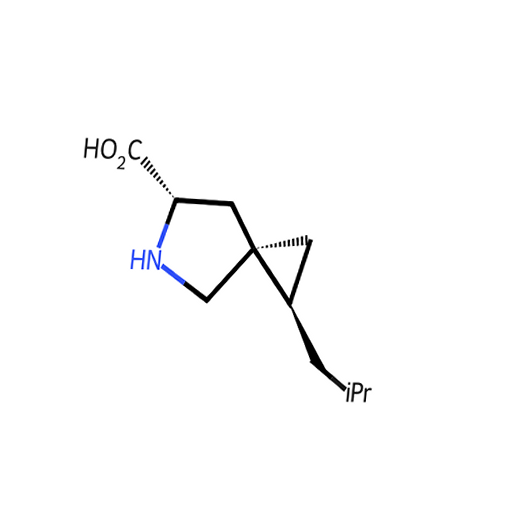 CC(C)C[C@@H]1C[C@@]12CN[C@H](C(=O)O)C2